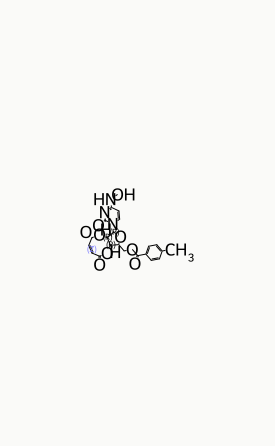 Cc1ccc(C(=O)OCC2O[C@@H](n3ccc(NO)nc3=O)[C@@H]3OC(=O)/C=C\C(=O)O[C@H]23)cc1